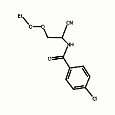 CCOOCC(C#N)NC(=O)c1ccc(Cl)cc1